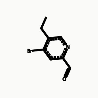 CCc1cnc(C=O)cc1Br